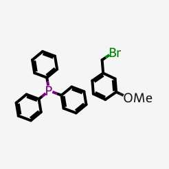 COc1cccc(CBr)c1.c1ccc(P(c2ccccc2)c2ccccc2)cc1